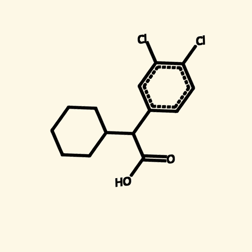 O=C(O)C(c1ccc(Cl)c(Cl)c1)C1CCCCC1